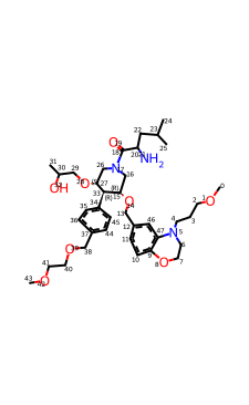 COCCCN1CCOc2ccc(CO[C@H]3CN(C(=O)C(N)CC(C)C)C[C@@H](OCC(C)O)[C@@H]3c3ccc(COCCOC)cc3)cc21